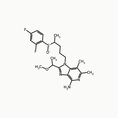 COC(C)c1nc2c(N)nc(C)c(C)c2n1CCCC(C)[S+]([O-])c1ccc(F)cc1F